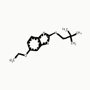 CCOc1ccc2nc(SCC(C)(C)C)sc2c1